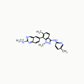 CNc1ncc2cc(-c3c(C)ccc4c(Nc5ccc(C)cn5)nn(C)c34)ccc2n1